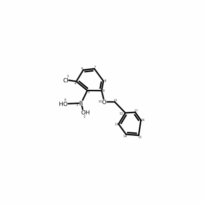 OB(O)c1c(Cl)cccc1OCc1ccccc1